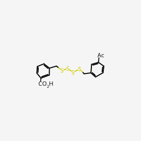 CC(=O)c1cccc(CSSSSCc2cccc(C(=O)O)c2)c1